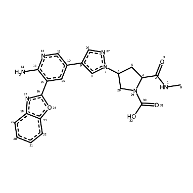 CNC(=O)C1CC(n2cc(-c3cnc(N)c(-c4nc5ccccc5o4)c3)cn2)CN1C(=O)O